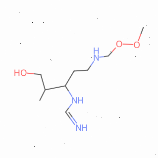 COOCNCCC(NC=N)C(C)CO